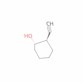 C#C[C@H]1CCCC[C@@H]1O